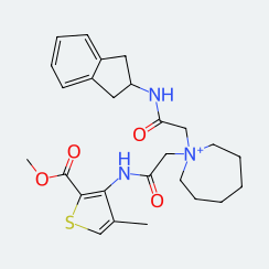 COC(=O)c1scc(C)c1NC(=O)C[N+]1(CC(=O)NC2Cc3ccccc3C2)CCCCCC1